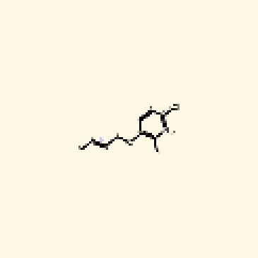 C/C=C/COc1ccc(Cl)nc1C